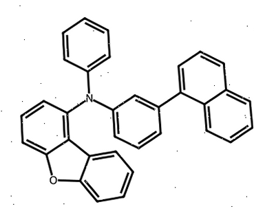 c1ccc(N(c2cccc(-c3cccc4ccccc34)c2)c2cccc3oc4ccccc4c23)cc1